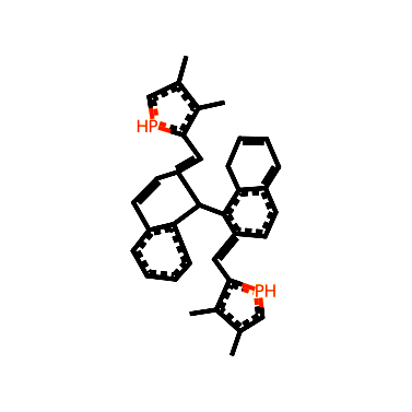 Cc1c[pH]c(C=C2C=Cc3ccccc3C2c2c3c(ccc2=Cc2[pH]cc(C)c2C)=CC=CC3)c1C